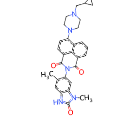 Cc1cc2[nH]c(=O)n(C)c2cc1N1C(=O)c2cccc3c(N4CCN(CC5CC5)CC4)ccc(c23)C1=O